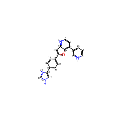 c1cncc(-c2ccnc3cc(-c4ccc(-c5c[nH]cn5)cc4)oc23)c1